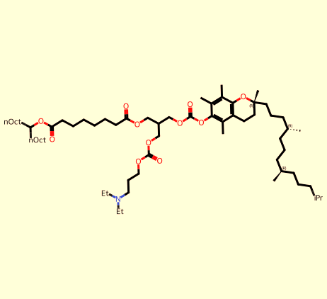 CCCCCCCCC(CCCCCCCC)OC(=O)CCCCCCC(=O)OCC(COC(=O)OCCCN(CC)CC)COC(=O)Oc1c(C)c(C)c2c(c1C)CC[C@@](C)(CCC[C@H](C)CCC[C@H](C)CCCC(C)C)O2